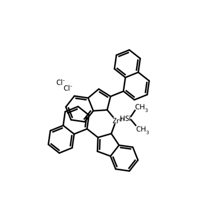 C[SiH](C)[Zr+2]([CH]1C(c2cccc3ccccc23)=Cc2ccccc21)[CH]1C(c2cccc3ccccc23)=Cc2ccccc21.[Cl-].[Cl-]